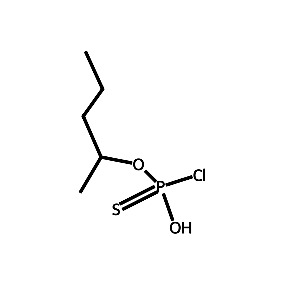 CCCC(C)OP(O)(=S)Cl